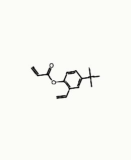 C=CC(=O)Oc1ccc(C(C)(C)C)cc1C=C